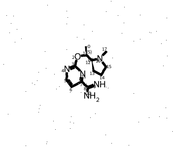 C[C@H](Oc1nccc(C(=N)N)n1)[C@@H]1CCCN1C